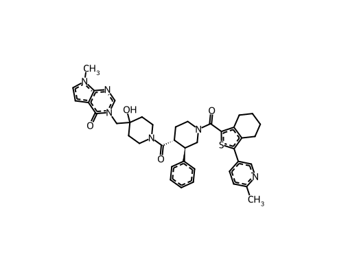 Cc1ccc(-c2sc(C(=O)N3CC[C@@H](C(=O)N4CCC(O)(Cn5cnc6c(ccn6C)c5=O)CC4)[C@H](c4ccccc4)C3)c3c2CCCC3)cn1